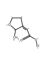 CCOC(=O)/C=C1/CCOC1C